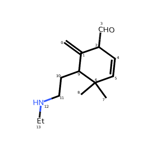 C=C1C(C=O)C=CC(C)(C)C1CCNCC